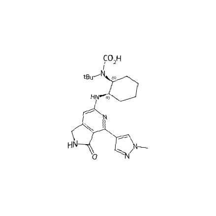 Cn1cc(-c2nc(N[C@@H]3CCCC[C@@H]3N(C(=O)O)C(C)(C)C)cc3c2C(=O)NC3)cn1